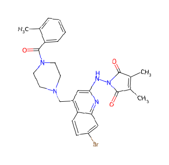 CC1=C(C)C(=O)N(Nc2cc(CN3CCN(C(=O)c4ccccc4C)CC3)c3ccc(Br)cc3n2)C1=O